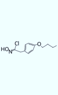 CCCCOc1ccc(CC(Cl)=NO)cc1